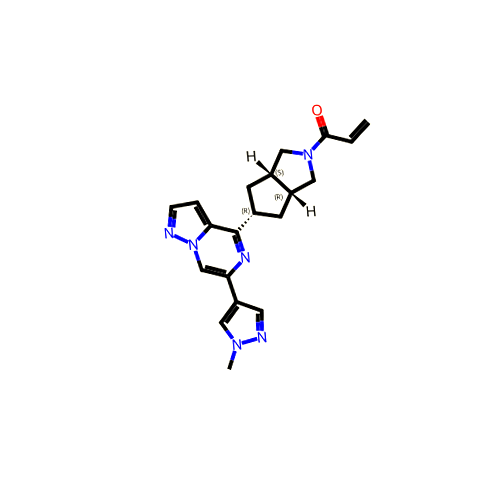 C=CC(=O)N1C[C@H]2C[C@@H](c3nc(-c4cnn(C)c4)cn4nccc34)C[C@H]2C1